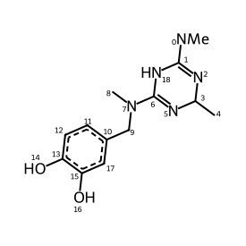 CNC1=NC(C)N=C(N(C)Cc2ccc(O)c(O)c2)N1